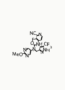 COc1ncc(N(Cc2cc(C(F)(F)F)[nH]n2)C(=O)Nc2ccnc(C#N)c2F)cn1